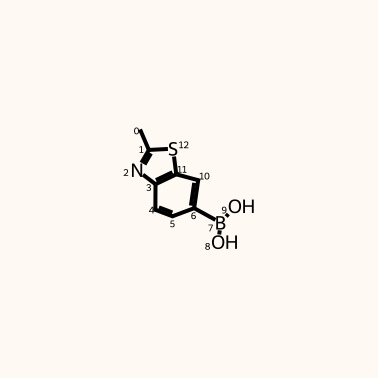 Cc1nc2ccc(B(O)O)cc2s1